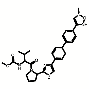 COC(=O)NC(C(=O)N1CCCC1c1nc(C2=CCC(c3ccc(C4=CN(C)ON4)cc3)C=C2)c[nH]1)C(C)C